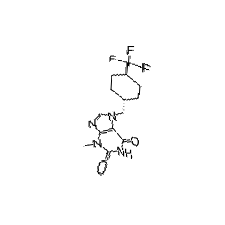 Cn1c(=O)[nH]c(=O)c2c1ncn2C[C@H]1CC[C@H](C(F)(F)F)CC1